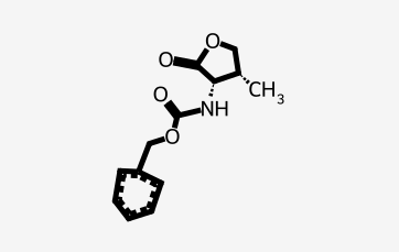 C[C@H]1COC(=O)[C@H]1NC(=O)OCc1ccccc1